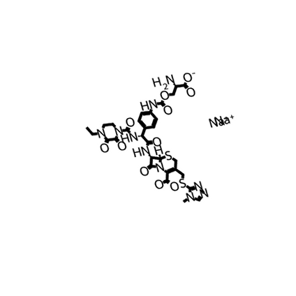 CCN1CCN(C(=O)N[C@@H](C(=O)N[C@@H]2C(=O)N3C(C(=O)[O-])=C(CSc4nncn4C)CS[C@@H]23)c2ccc(NC(=O)OC[C@@H](N)C(=O)[O-])cc2)C(=O)C1=O.[Na+].[Na+]